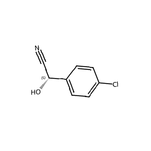 N#C[C@@H](O)c1ccc(Cl)cc1